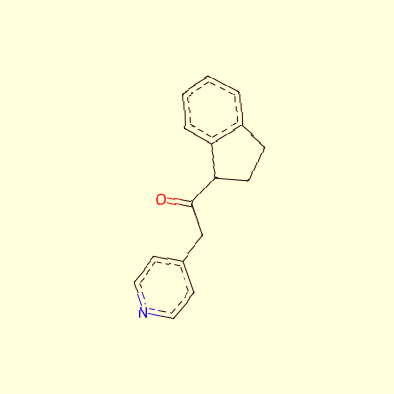 O=C(Cc1ccncc1)C1CCc2ccccc21